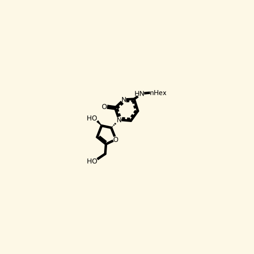 CCCCCCNc1ccn([C@@H]2OC(CO)=C[C@H]2O)c(=O)n1